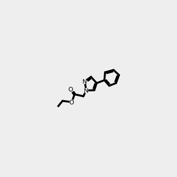 CCOC(=O)Cn1cc(-c2ccccc2)cn1